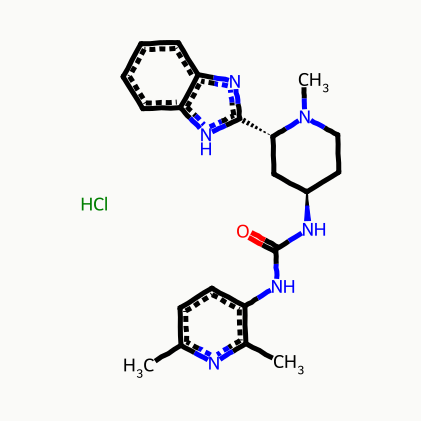 Cc1ccc(NC(=O)N[C@@H]2CCN(C)[C@@H](c3nc4ccccc4[nH]3)C2)c(C)n1.Cl